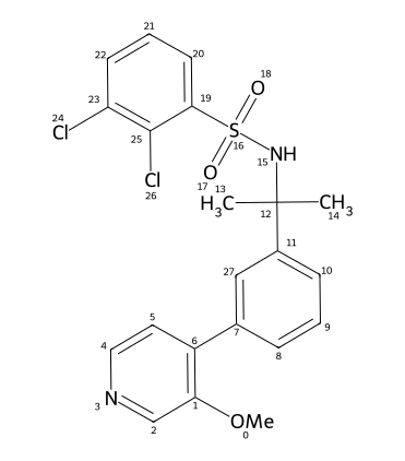 COc1cnccc1-c1cccc(C(C)(C)NS(=O)(=O)c2cccc(Cl)c2Cl)c1